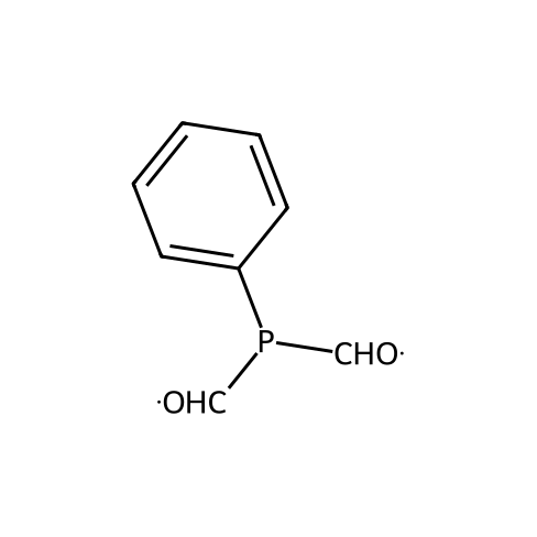 O=[C]P([C]=O)c1ccccc1